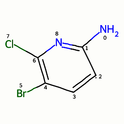 Nc1[c]cc(Br)c(Cl)n1